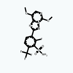 COc1cnc(OC)n2nc(-c3ccc(C(F)(F)F)c(S(N)(=O)=O)c3F)nc12